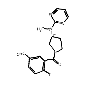 CN(c1ncccn1)[C@@H]1CCN(C(=O)c2cc(C=O)ccc2F)C1